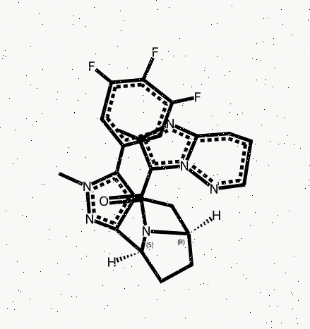 Cc1nc2cccnn2c1C(=O)N1[C@@H]2CC[C@H]1c1nn(C)c(-c3cc(F)c(F)c(F)c3)c1C2